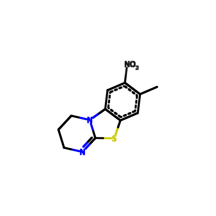 Cc1cc2c(cc1[N+](=O)[O-])N1CCCN=C1S2